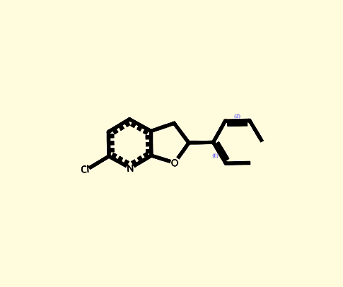 C/C=C\C(=C/C)C1Cc2ccc(Cl)nc2O1